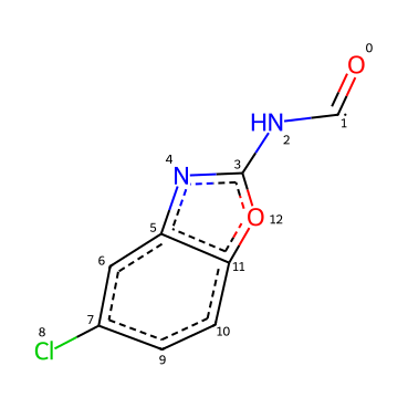 O=[C]Nc1nc2cc(Cl)ccc2o1